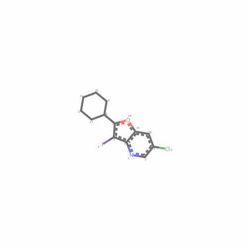 Clc1cnc2c(I)c(C3CCCCC3)oc2c1